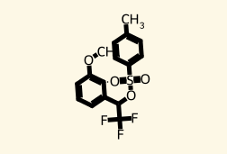 COc1[c]c(C(OS(=O)(=O)c2ccc(C)cc2)C(F)(F)F)ccc1